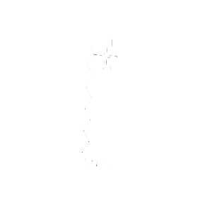 CCCCCCCCCCCCCCCCCCC(C)[Si](Cl)(Cl)Cl